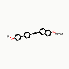 CCCCCOc1ccc2cc(C#Cc3ccc(-c4ccc(OCCC)cc4)cc3)ccc2c1